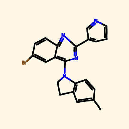 Cc1ccc2c(c1)CCN2c1nc(-c2cccnc2)nc2ccc(Br)cc12